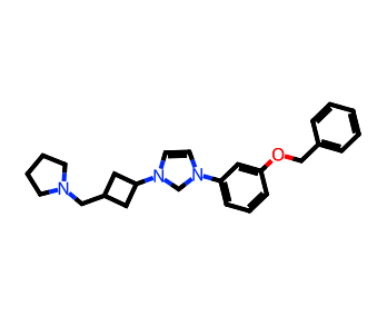 C1=CN(C2CC(CN3CCCC3)C2)CN1c1cccc(OCc2ccccc2)c1